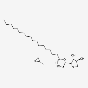 CC1CO1.CCCCCCCCCCCCCCCCCC(=O)O[C@H](CO)[C@H]1OC[C@H](O)[C@H]1O